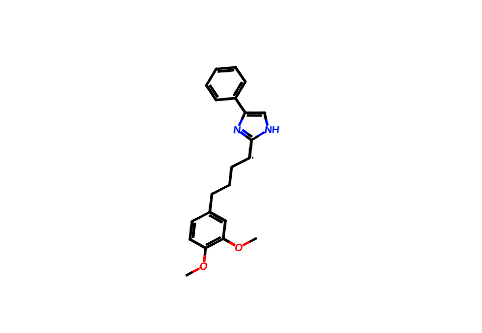 COc1ccc(CCC[CH]c2nc(-c3ccccc3)c[nH]2)cc1OC